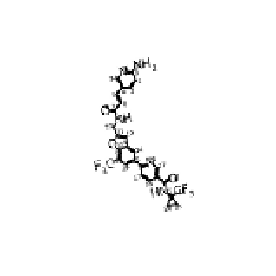 Nc1ccc(C=CC(=O)NCc2cc3cc(-c4ccc(C(=O)NC5(C(F)(F)F)CC5)cn4)cc(C(F)(F)F)c3o2)cn1